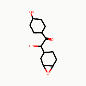 O=C(C1CCC(O)CC1)C(O)C1CCC2OC2C1